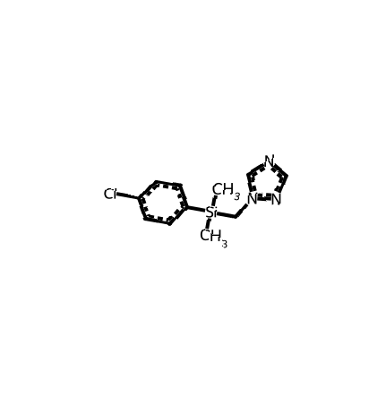 C[Si](C)(Cn1cncn1)c1ccc(Cl)cc1